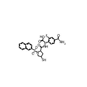 NC(=O)c1ccc(N(NC(=O)C2CC(S)CN2S(=O)(=O)c2ccc3ccccc3c2)C(=O)O)c(F)c1